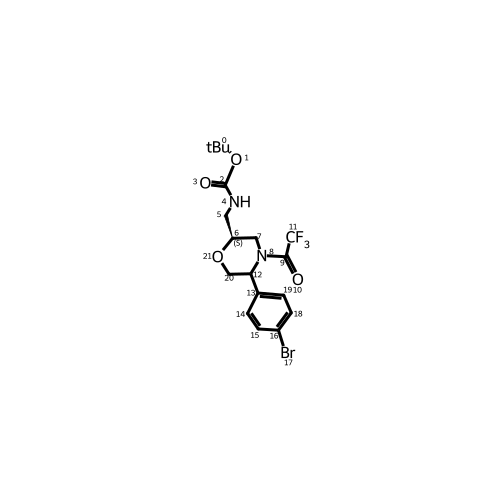 CC(C)(C)OC(=O)NC[C@H]1CN(C(=O)C(F)(F)F)C(c2ccc(Br)cc2)CO1